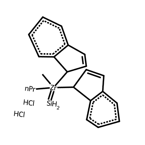 CC[CH2][Zr]([CH3])(=[SiH2])([CH]1C=Cc2ccccc21)[CH]1C=Cc2ccccc21.Cl.Cl